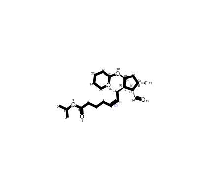 CC(C)OC(=O)CCC/C=C\C[C@@H]1[C@@H](C=O)[C@@H](F)C[C@@H]1OC1CCCCO1